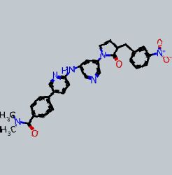 CN(C)C(=O)c1ccc(-c2ccc(Nc3cncc(N4CCC(Cc5cccc([N+](=O)[O-])c5)C4=O)c3)nc2)cc1